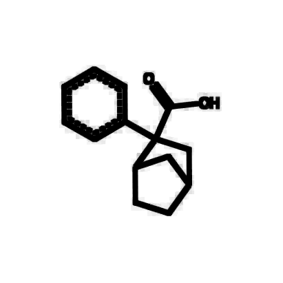 O=C(O)C1(c2ccccc2)CC2CCC1C2